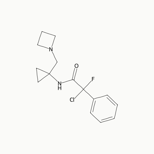 O=C(NC1(CN2CCC2)CC1)C(F)(Cl)c1ccccc1